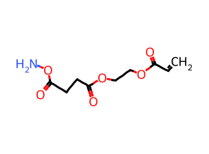 C=CC(=O)OCCOC(=O)CCC(=O)ON